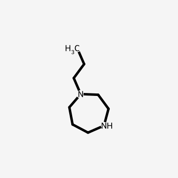 CCCN1CCCNCC1